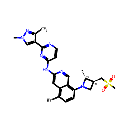 CC(C)c1ccc(N2C[C@H](CS(C)(=O)=O)[C@H]2C)c2cnc(Nc3ccnc(-c4cn(C)nc4C(F)(F)F)n3)cc12